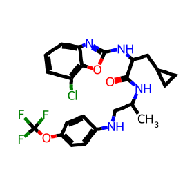 CC(CNc1ccc(OC(F)(F)F)cc1)NC(=O)C(CC1CC1)Nc1nc2cccc(Cl)c2o1